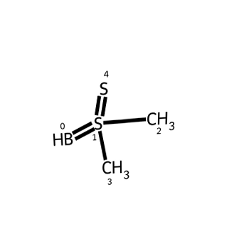 B=S(C)(C)=S